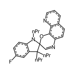 CCCN1c2ccc(F)cc2C(CCC)(CCC)C12C=Nc1ccc3cccnc3c1O2